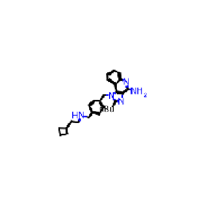 CCCCc1nc2c(N)nc3ccccc3c2n1Cc1ccc(CNCCC2CCC2)cc1